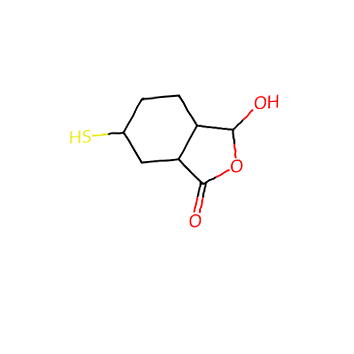 O=C1OC(O)C2CCC(S)CC12